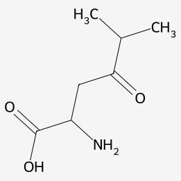 CC(C)C(=O)CC(N)C(=O)O